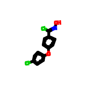 O/N=C(\Cl)c1ccc(Oc2ccc(Cl)cc2)cc1